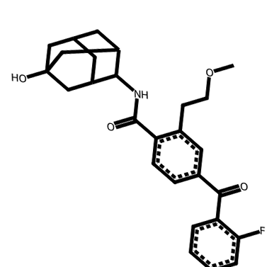 COCCc1cc(C(=O)c2ccccc2F)ccc1C(=O)NC1C2CC3CC1CC(O)(C3)C2